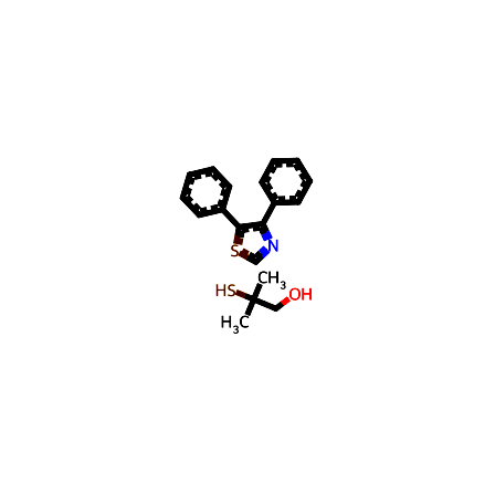 CC(C)(S)CO.c1ccc(-c2ncsc2-c2ccccc2)cc1